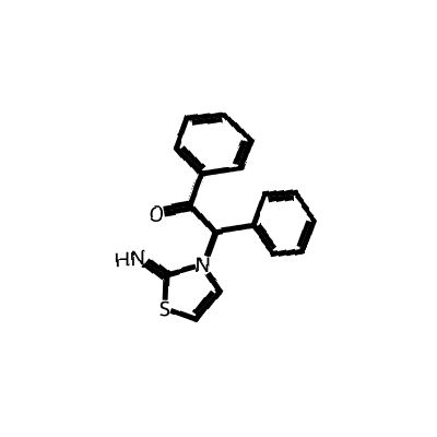 N=c1sccn1C(C(=O)c1ccccc1)c1ccccc1